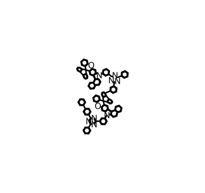 c1ccc(-c2ccc(-c3nc(-c4ccccc4)nc(-c4cccc(-n5c6cc7c(cc6c6c8ccccc8ccc65)C5(c6ccccc6O7)c6ccccc6-c6c(-c7cccc(-c8nc(-c9ccccc9)nc(-c9cccc(-n%10c%11cc%12c(cc%11c%11c%13ccccc%13ccc%11%10)C%10(c%11ccccc%11O%12)c%11ccccc%11-c%11ccccc%11%10)c9)n8)c7)cccc65)c4)n3)cc2)cc1